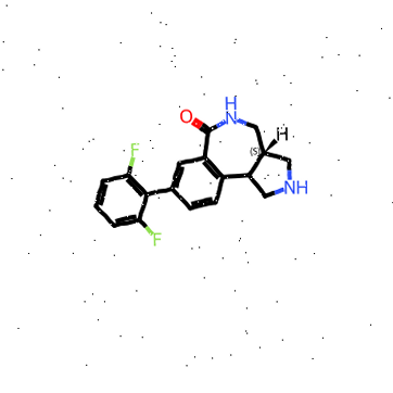 O=C1NC[C@@H]2CNCC2c2ccc(-c3c(F)cccc3F)cc21